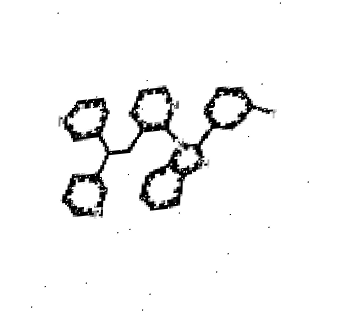 Fc1cccc(-c2nc3ccccc3n2-c2ncccc2CC(c2cccnc2)c2cccnc2)c1